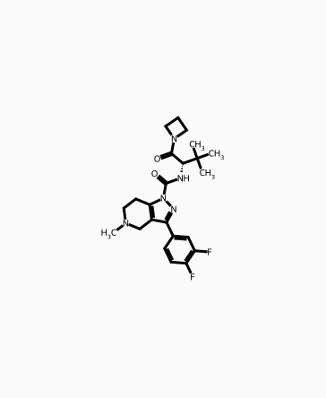 CN1CCc2c(c(-c3ccc(F)c(F)c3)nn2C(=O)N[C@H](C(=O)N2CCC2)C(C)(C)C)C1